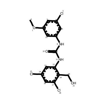 COc1cc(Cl)cc(NC(=O)Nc2cc(Cl)cc(Cl)c2CO)c1